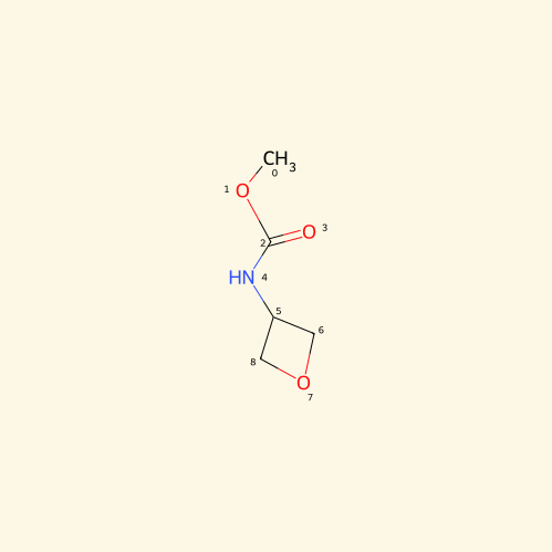 COC(=O)NC1COC1